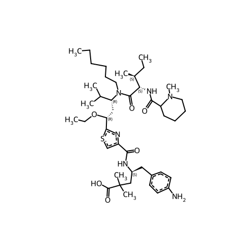 CCCCCCN(C(=O)[C@@H](NC(=O)C1CCCCN1C)[C@@H](C)CC)[C@H](C[C@@H](OCC)c1nc(C(=O)N[C@@H](Cc2ccc(N)cc2)CC(C)(C)C(=O)O)cs1)C(C)C